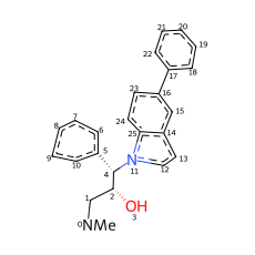 CNC[C@@H](O)[C@H](c1ccccc1)n1ccc2cc(-c3ccccc3)ccc21